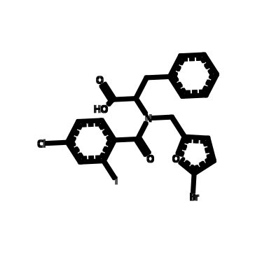 O=C(O)C(Cc1ccccc1)N(Cc1ccc(Br)o1)C(=O)c1ccc(Cl)cc1I